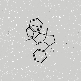 CC(ON1[C@](C)(c2ccccc2)CC[C@@]1(C)c1ccccc1)c1ccccc1